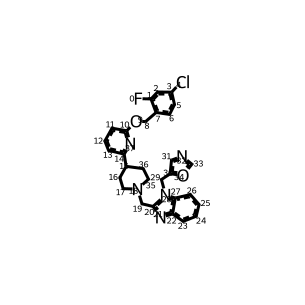 Fc1cc(Cl)ccc1COc1cccc(C2CCN(Cc3nc4ccccc4n3Cc3cnco3)CC2)n1